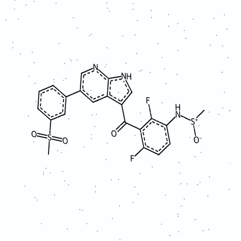 C[S+]([O-])Nc1ccc(F)c(C(=O)c2c[nH]c3ncc(-c4cccc(S(C)(=O)=O)c4)cc23)c1F